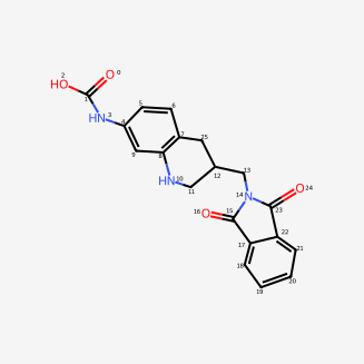 O=C(O)Nc1ccc2c(c1)NCC(CN1C(=O)c3ccccc3C1=O)C2